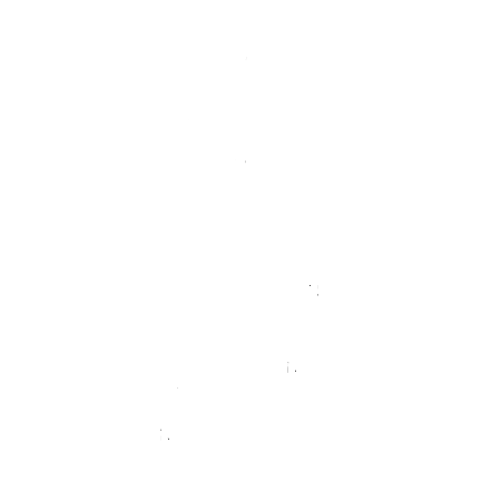 O=C1OC(CCCN2CCN(Cc3ccncc3)CC2)c2ccccc21